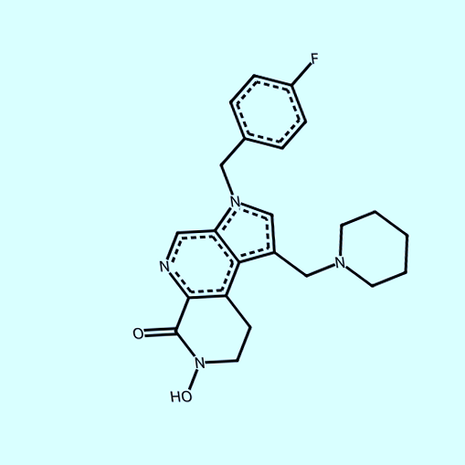 O=C1c2ncc3c(c(CN4CCCCC4)cn3Cc3ccc(F)cc3)c2CCN1O